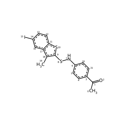 CC(=O)c1ccc(NSc2sc3ccc(I)cc3c2C)cc1